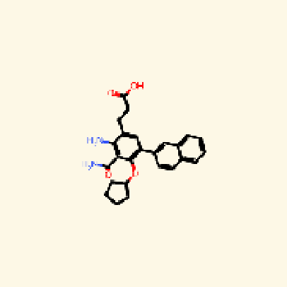 NC(=O)c1c(N)c(CCC(=O)O)cc(-c2ccc3ccccc3c2)c1OC1CCCC1